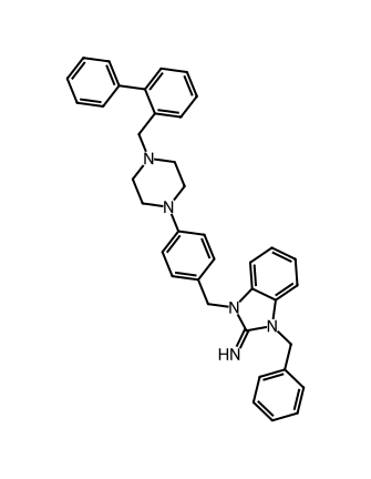 N=c1n(Cc2ccccc2)c2ccccc2n1Cc1ccc(N2CCN(Cc3ccccc3-c3ccccc3)CC2)cc1